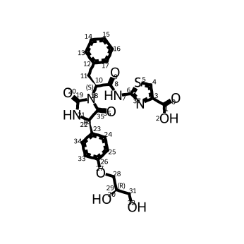 O=C(O)c1csc(NC(=O)[C@H](Cc2ccccc2)N2C(=O)N[C@H](c3ccc(OC[C@H](O)CO)cc3)C2=O)n1